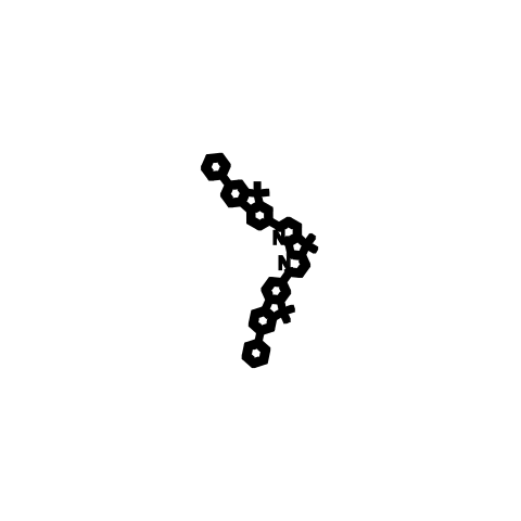 CC1(C)c2cc(-c3ccccc3)ccc2-c2ccc(-c3ccc4c(n3)-c3nc(-c5ccc6c(c5)C(C)(C)c5cc(-c7ccccc7)ccc5-6)ccc3C4(C)C)cc21